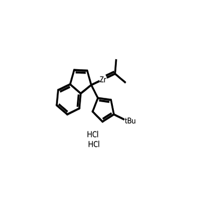 C[C](C)=[Zr][C]1(C2=CC(C(C)(C)C)=CC2)C=Cc2ccccc21.Cl.Cl